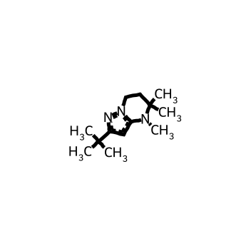 CN1c2cc(C(C)(C)C)nn2CCC1(C)C